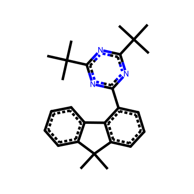 CC(C)(C)c1nc(-c2cccc3c2-c2ccccc2C3(C)C)nc(C(C)(C)C)n1